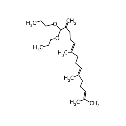 C=C(CC/C=C(\C)CC/C=C(\C)CCC=C(C)C)C(OCCC)OCCC